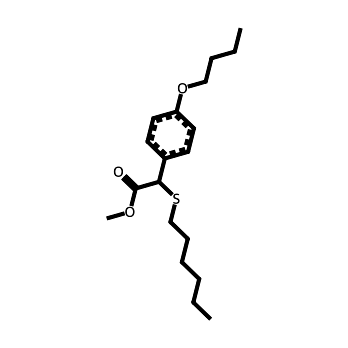 CCCCCCSC(C(=O)OC)c1ccc(OCCCC)cc1